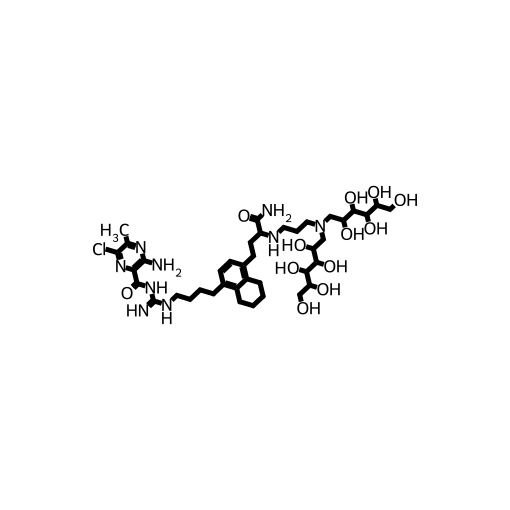 Cc1nc(N)c(C(=O)NC(=N)NCCCCc2ccc(CCC(NCCCN(CC(O)C(O)C(O)C(O)CO)CC(O)C(O)C(O)C(O)CO)C(N)=O)c3c2CCCC3)nc1Cl